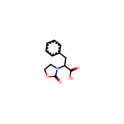 O=C(O)C(Cc1ccccc1)N1CCOC1=O